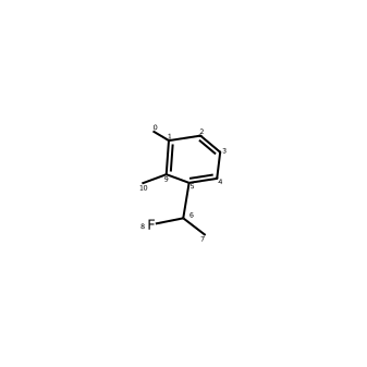 Cc1cccc(C(C)F)c1C